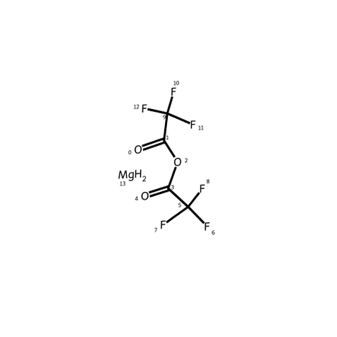 O=C(OC(=O)C(F)(F)F)C(F)(F)F.[MgH2]